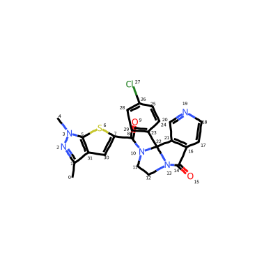 Cc1nn(C)c2sc(C(=O)N3CCN4C(=O)c5ccncc5C34c3ccc(Cl)cc3)cc12